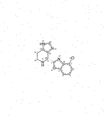 Clc1cccc2oc([C@@H]3NCCc4[nH]cnc43)nc12